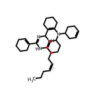 CCC/C=C\CCC1NC(C2=CCCCC2)=NC(C2=C(N(C3C=CCCC3)C3CC=CCC3)CCCC2)N1